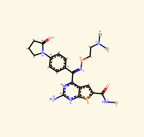 CCNC(=O)c1cc2c(C(=NOCCN(CC)CC)c3ccc(N4CCCC4=O)cc3)nc(N)nc2s1